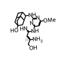 COc1cc(NC(=N)/C=C(\N)CO)nc(NC2C3CC4CC2CC(O)(C4)C3)n1